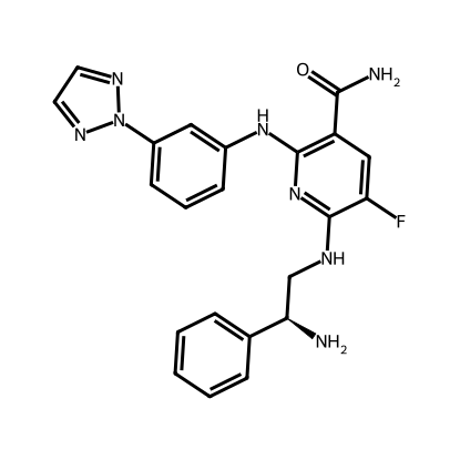 NC(=O)c1cc(F)c(NC[C@@H](N)c2ccccc2)nc1Nc1cccc(-n2nccn2)c1